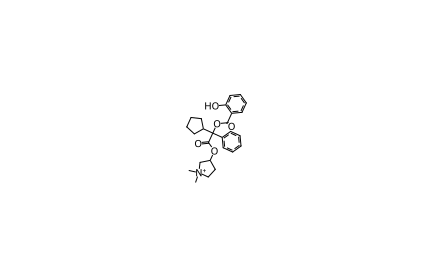 C[N+]1(C)CCC(OC(=O)C(OC(=O)c2ccccc2O)(c2ccccc2)C2CCCC2)C1